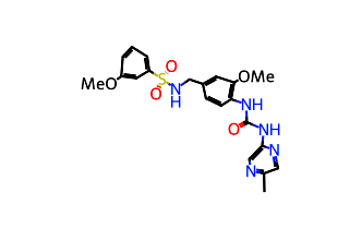 COc1cccc(S(=O)(=O)NCc2ccc(NC(=O)Nc3cnc(C)cn3)c(OC)c2)c1